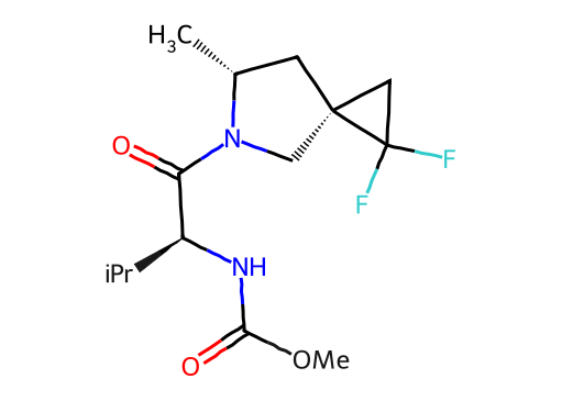 COC(=O)N[C@H](C(=O)N1C[C@]2(C[C@H]1C)CC2(F)F)C(C)C